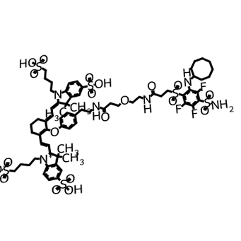 CC1(C)C(/C=C/C2=C(Oc3ccc(CCNC(=O)CCOCCNC(=O)CCS(=O)(=O)c4c(F)c(F)c(S(N)(=O)=O)c(F)c4NC4CCCCCCC4)cc3)C(=C/C=C3/N(CCCCS(=O)(=O)O)c4ccc(S(=O)(=O)O)cc4C3(C)C)/CCC2)=[N+](CCCCS(=O)(=O)[O-])c2ccc(S(=O)(=O)O)cc21